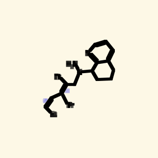 CC/C=C\C(=C(/CC)CN(N)C1CCCc2cccnc21)C(C)C